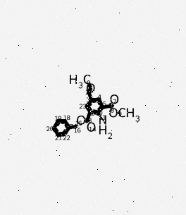 COCc1cc(C(=O)OC)c(N)c(C(=O)OCc2ccccc2)c1